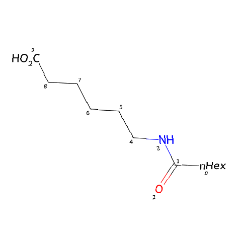 CCCCCCC(=O)NCCCCCC(=O)O